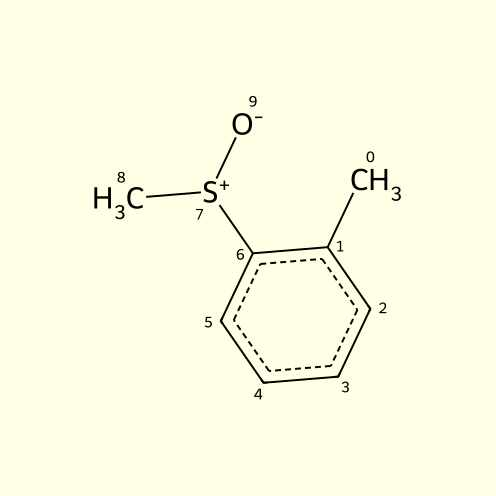 Cc1ccccc1[S+](C)[O-]